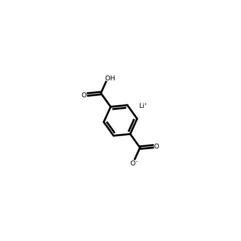 O=C([O-])c1ccc(C(=O)O)cc1.[Li+]